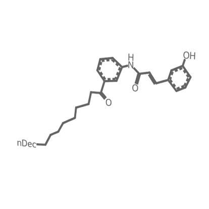 CCCCCCCCCCCCCCCCCCC(=O)c1cccc(NC(=O)C=Cc2cccc(O)c2)c1